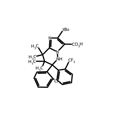 CC(C)(C)c1nc2n(c1C(=O)O)NC(c1ccccc1C(F)(F)F)(c1ccccc1C(F)(F)F)C(C)(C)C2(C)C